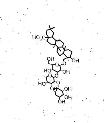 C[C@@H]1O[C@@H](O[C@@H]2[C@@H](O)[C@H](OC[C@]3(C)C(O)CCC4(C)C5CC=C6C7CC(C)(C)CCC7(C(=O)O)CC[C@@]6(C)C5(C)CCC43)O[C@H](CO)[C@H]2O)[C@H](O[C@@H]2OC[C@H](O)[C@H](O)[C@H]2O)[C@H](O)[C@@H]1O